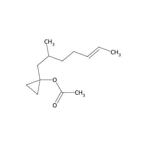 CC=CCCC(C)CC1(OC(C)=O)CC1